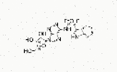 CCOC(=O)[C@H](Cc1c[nH]c2ccccc12)Nc1ncnc2c1ncn2[C@@H]1O[C@H](CO)[C@H](O)C1O